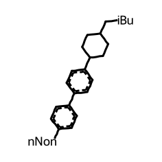 CCCCCCCCCc1ccc(-c2ccc(C3CCC(CC(C)CC)CC3)cc2)cc1